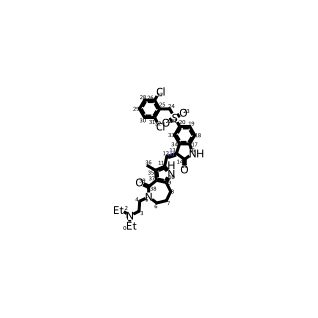 CCN(CC)CCN1CCCc2[nH]c(/C=C3\C(=O)Nc4ccc(S(=O)(=O)Cc5c(Cl)cccc5Cl)cc43)c(C)c2C1=O